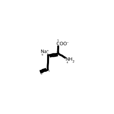 C=CC=C(N)C(=O)[O-].[Na+]